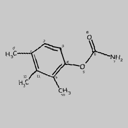 Cc1ccc(OC(N)=O)c(C)c1C